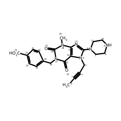 CC#CCn1c(N2CCNCC2)nc2c1c(=O)n(Cc1ccc(C(=O)O)cc1)c(=O)n2C